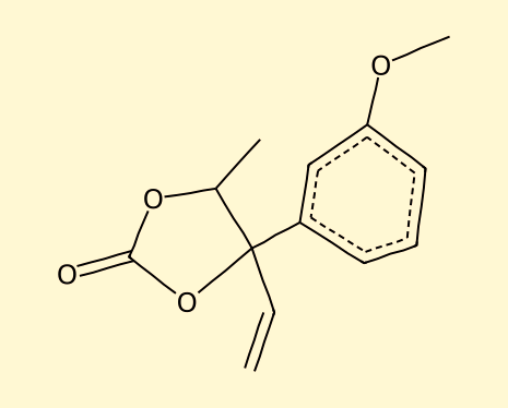 C=CC1(c2cccc(OC)c2)OC(=O)OC1C